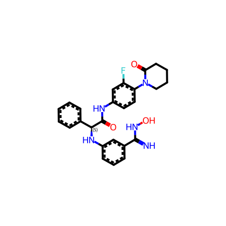 N=C(NO)c1cccc(N[C@H](C(=O)Nc2ccc(N3CCCCC3=O)c(F)c2)c2ccccc2)c1